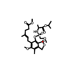 COCP(=O)(NC(C)C(=O)OC(C)C)Oc1c(C/C=C(\C)CCC(=O)OC)c(OC)c(C)c2c1C(=O)OC2